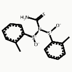 Cc1ccccc1[S+]([O-])N(C(N)=S)[S+]([O-])c1ccccc1C